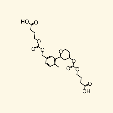 Cc1ccc(COC(=O)OCCCC(=O)O)cc1C1CC(OC(=O)OCCCC(=O)O)CCO1